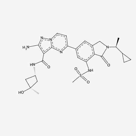 C[C@@H](C1CC1)N1Cc2cc(-c3ccn4nc(N)c(C(=O)N[C@H]5C[C@](C)(O)C5)c4n3)cc(NS(C)(=O)=O)c2C1=O